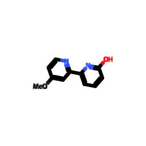 COc1ccnc(-c2cccc(O)n2)c1